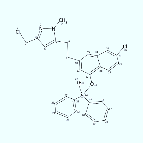 Cn1nc(CCl)cc1CCc1cc(O[Si](c2ccccc2)(c2ccccc2)C(C)(C)C)c2ccc(Cl)cc2c1